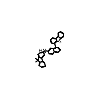 CC1(C)c2ccccc2-c2cc(Nc3ccc4cccc(-c5cccc6c5sc5ccccc56)c4c3)ccc21